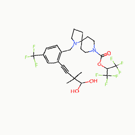 CC(C)(C#Cc1cc(C(F)(F)F)ccc1CN1CCCC12CCN(C(=O)OC(C(F)(F)F)C(F)(F)F)CC2)C(O)O